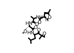 COC[C@H](NC(=O)C(C)NC(=O)c1cc(C)on1)C(=O)NC(CC(C)C)C(=O)C1(C)CO1